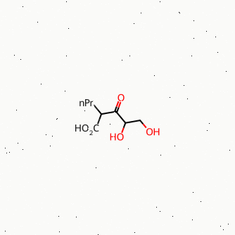 CCCC(C(=O)O)C(=O)C(O)CO